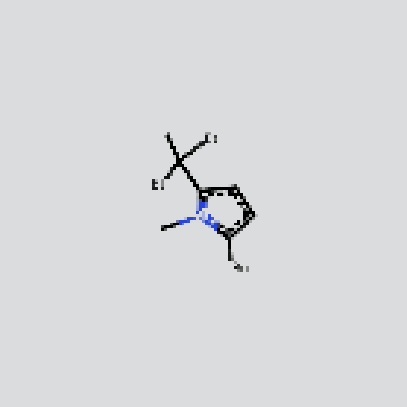 CCC(C)c1ccc(C(C)(CC)CC)n1C